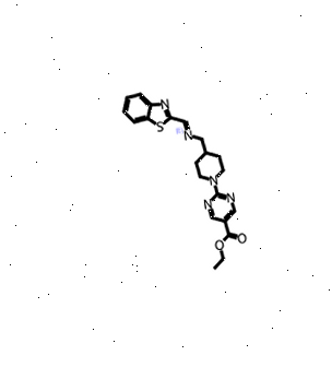 CCOC(=O)c1cnc(N2CCC(C/N=C/c3nc4ccccc4s3)CC2)nc1